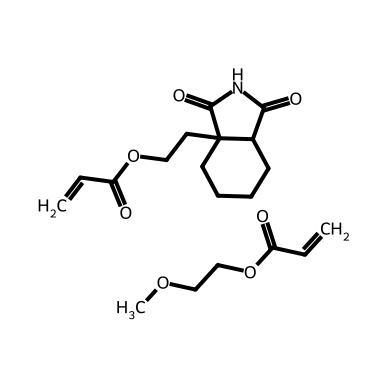 C=CC(=O)OCCC12CCCCC1C(=O)NC2=O.C=CC(=O)OCCOC